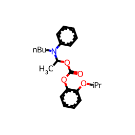 CCCCN(c1ccccc1)C(C)OC(=O)Oc1ccccc1OC(C)C